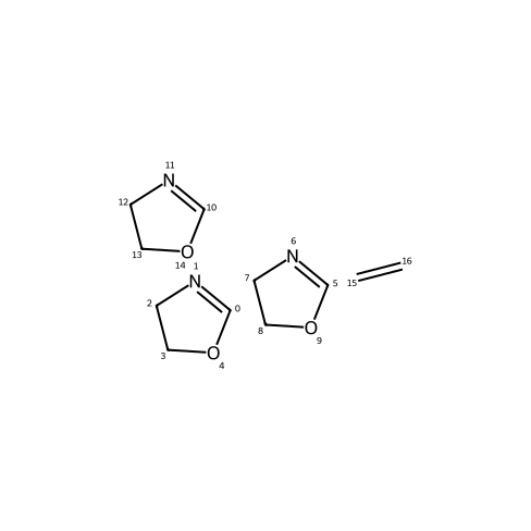 C1=NCCO1.C1=NCCO1.C1=NCCO1.C=C